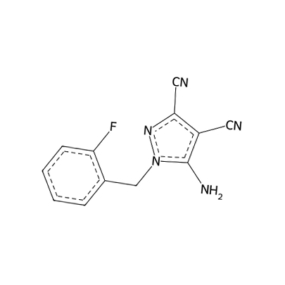 N#Cc1nn(Cc2ccccc2F)c(N)c1C#N